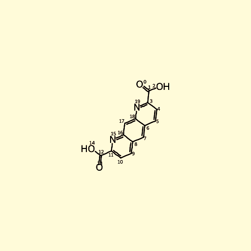 O=C(O)c1ccc2cc3ccc(C(=O)O)nc3cc2n1